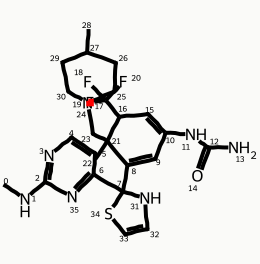 CNc1nccc(C2(C3=CC(NC(N)=O)=CC(C(F)(F)F)C3(C)CN3CCC(C)CC3)NC=CS2)n1